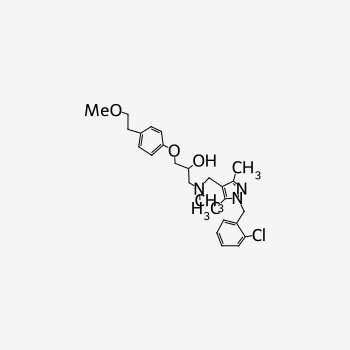 COCCc1ccc(OCC(O)CN(C)Cc2c(C)nn(Cc3ccccc3Cl)c2C)cc1